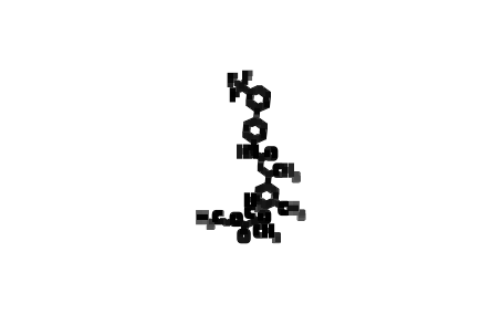 CCOC(=O)C(C)(C)Oc1ccc(C(C)CC(=O)Nc2ccc(-c3cccc(C(F)(F)F)c3)cc2)cc1C